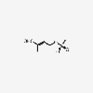 CC(C=O)=CCOS(C)(=O)=O